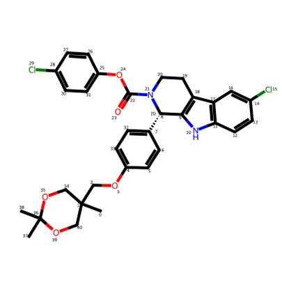 CC1(COc2ccc([C@H]3c4[nH]c5ccc(Cl)cc5c4CCN3C(=O)Oc3ccc(Cl)cc3)cc2)COC(C)(C)OC1